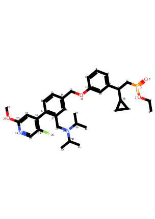 CCO[PH](=O)CC(c1cccc(OCc2ccc(-c3cc(OC)ncc3F)c(CN(C(C)C)C(C)C)c2)c1)C1CC1